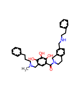 CN(CCCc1ccccc1)Cc1cc(C(=O)N2CCc3ccc(CNCCc4ccccc4)cc3C2)c(O)c(O)c1O